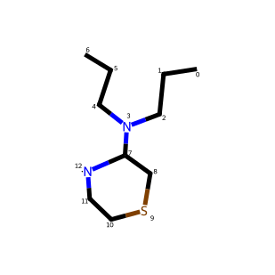 CCCN(CCC)C1CSCC[N]1